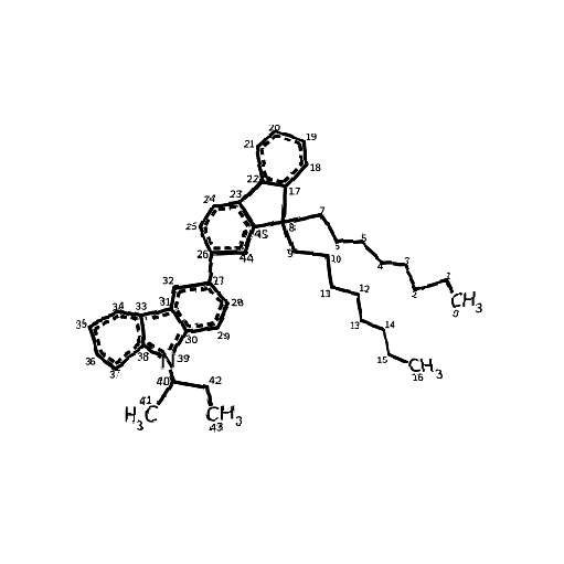 CCCCCCCCC1(CCCCCCCC)c2ccccc2-c2ccc(-c3ccc4c(c3)c3ccccc3n4C(C)CC)cc21